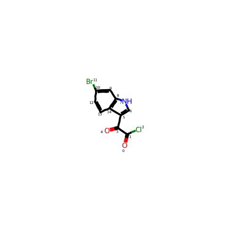 O=C(Cl)C(=O)c1c[nH]c2cc(Br)ccc12